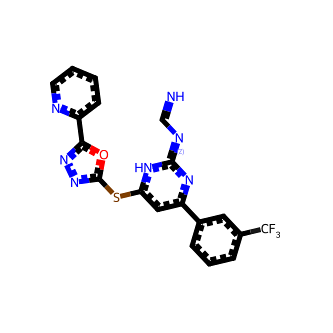 N=C/N=c1/nc(-c2cccc(C(F)(F)F)c2)cc(Sc2nnc(-c3ccccn3)o2)[nH]1